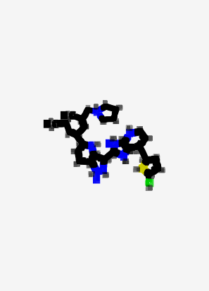 C=C/C=C(\C=C(/C)CN1CCCC1)c1ccc2[nH]nc(-c3nc4c(-c5ccc(Cl)s5)ccnc4[nH]3)c2n1